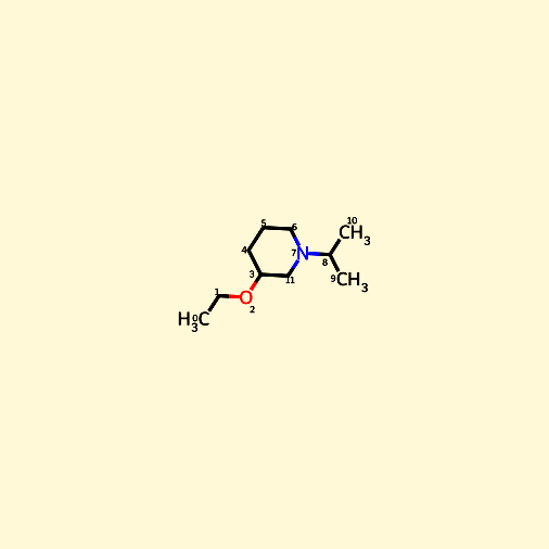 CCOC1CCCN(C(C)C)C1